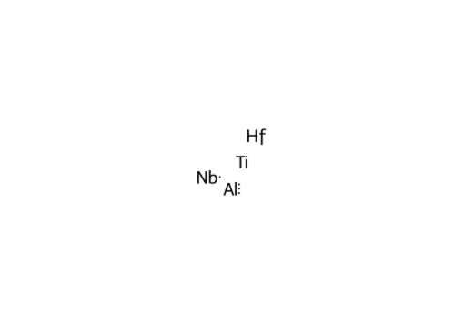 [Al].[Hf].[Nb].[Ti]